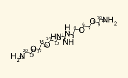 N=C(NCCOCCOCCN)NCCOCCOCCN